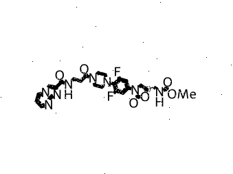 COC(=O)NC[C@H]1CN(c2cc(F)c(N3CCN(C(=O)CCNC(=O)c4cn5cccnc5n4)CC3)c(F)c2)C(=O)O1